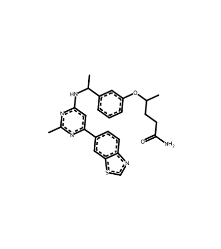 Cc1nc(NC(C)c2cccc(OC(C)CCC(N)=O)c2)cc(-c2ccc3ncsc3c2)n1